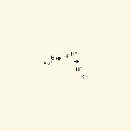 F.F.F.F.F.F.[As].[KH]